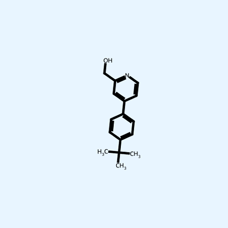 CC(C)(C)c1ccc(-c2ccnc(CO)c2)cc1